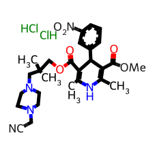 COC(=O)C1=C(C)NC(C)=C(C(=O)OCC(C)(C)CN2CCN(CC#N)CC2)C1c1cccc([N+](=O)[O-])c1.Cl.Cl